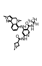 [2H]C([2H])([2H])NC(=O)c1cnc(NC(=O)C2CN(C)C2)cc1Nc1cccc2c1N(C)Cc1cn(C)nc1-2